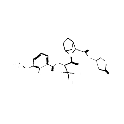 COc1cccc(C(=O)NC(C(=O)N2C3CCC(C3)C2C(=O)NC2COC(=O)C2)C(C)(C)C)c1C